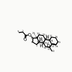 CCC(=O)OC1CC[C@H]2[C@@H]3CC(C)C4=CCCC[C@]4(C=O)[C@@H]3CC[C@]12C